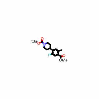 COC(=O)c1cc(F)c(C2CCN(C(=O)OC(C)(C)C)CC2)cc1C